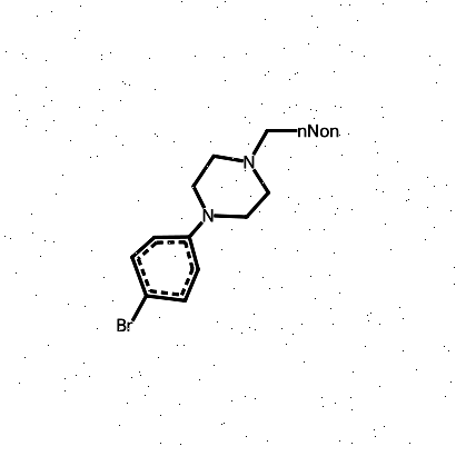 CCCCCCCCCCN1CCN(c2ccc(Br)cc2)CC1